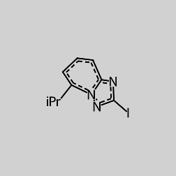 CC(C)c1cccc2nc(I)nn12